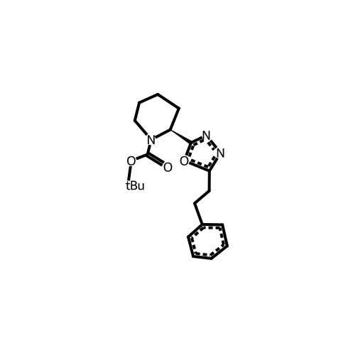 CC(C)(C)OC(=O)N1CCCC[C@H]1c1nnc(CCc2ccccc2)o1